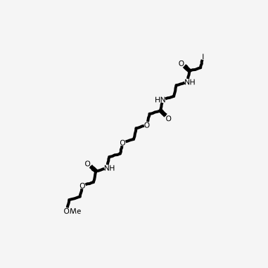 COCCOCC(=O)NCCOCCOCC(=O)NCCNC(=O)CI